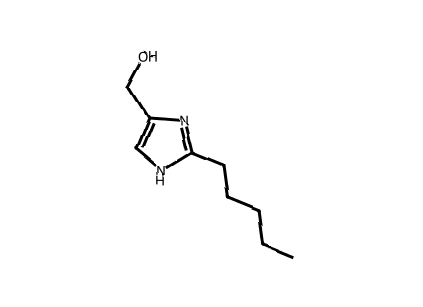 CCCCCc1nc(CO)c[nH]1